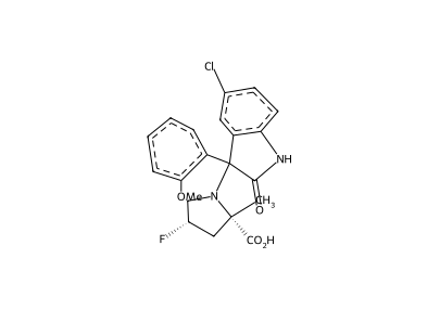 COc1ccccc1C1(N2C[C@@H](F)C[C@@]2(C)C(=O)O)C(=O)Nc2ccc(Cl)cc21